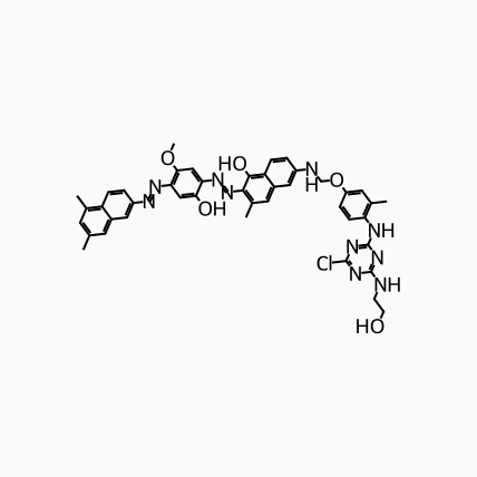 COc1cc(N=Nc2c(C)cc3cc(NCOc4ccc(Nc5nc(Cl)nc(NCCO)n5)c(C)c4)ccc3c2O)c(O)cc1N=Nc1ccc2c(C)cc(C)cc2c1